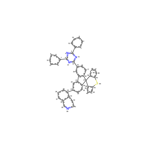 c1ccc(-c2nc(-c3ccccc3)nc(-c3ccc4c(c3)-c3cc(-c5cccc6cnccc56)ccc3C43c4ccccc4Sc4ccccc43)n2)cc1